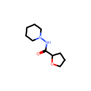 O=C(NN1CCCCC1)C1CCCO1